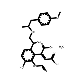 COc1ccc(CC(C)NCC(O)c2ccc(O)c(NC=O)c2/C(=C/C(=O)O)C(=O)O)cc1.O